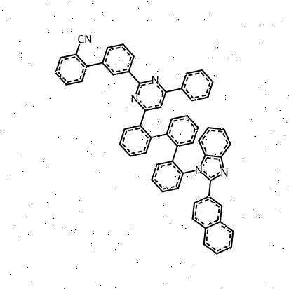 N#Cc1ccccc1-c1cccc(-c2nc(-c3ccccc3)cc(-c3ccccc3-c3ccccc3-c3ccccc3-n3c(-c4ccc5ccccc5c4)nc4ccccc43)n2)c1